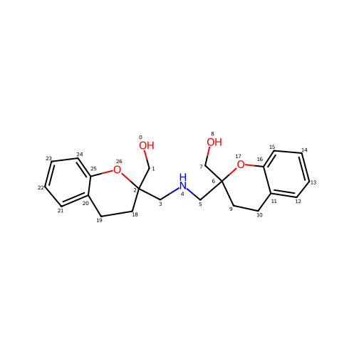 OCC1(CNCC2(CO)CCc3ccccc3O2)CCc2ccccc2O1